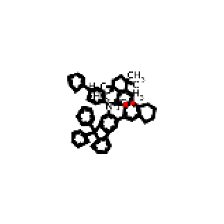 Cc1cc2c(cc1-c1cc3c(cc1N(c1ccc(-c4ccccc4)cc1)c1cccc4c1C(C)(C)CCC4(C)C)C(c1ccccc1)(c1ccccc1)c1ccccc1-3)CCCC2